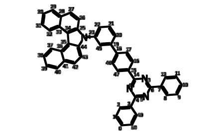 c1ccc(-c2nc(-c3ccccc3)nc(-c3ccc(-c4cccc(-n5c6ccc7ccccc7c6c6c7ccccc7ccc65)c4)cc3)n2)cc1